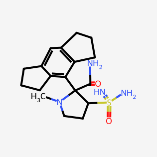 CN1CCC(S(=N)(N)=O)C1(C(N)=O)c1c2c(cc3c1CCC3)CCC2